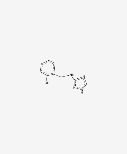 Oc1ccccc1CNc1nc[nH]n1